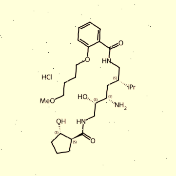 COCCCCOc1ccccc1C(=O)NC[C@@H](C[C@H](N)[C@@H](O)CNC(=O)[C@H]1CCC[C@@H]1O)C(C)C.Cl